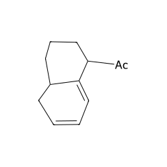 CC(=O)C1CCCC2CC=CC=C21